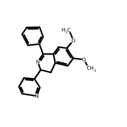 COc1cc2c(cc1OC)C(c1ccccc1)=NC(c1cccnc1)C2